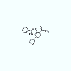 NC(=O)c1ccc(-c2ccccc2)c(NC(=O)c2ccccc2)c1F